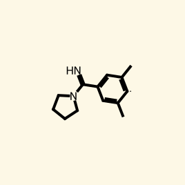 Cc1[c]c(C)cc(C(=N)N2CCCC2)c1